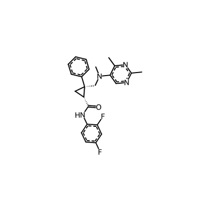 Cc1ncc(N(C)C[C@@]2(c3ccccc3)C[C@H]2C(=O)Nc2ccc(F)cc2F)c(C)n1